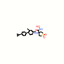 Cc1cc(CNC2(C(=O)NO)CCS(=O)(=O)CC2)ccc1-c1ccc(C2CC2)cc1